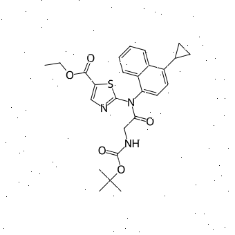 CCOC(=O)c1cnc(N(C(=O)CNC(=O)OC(C)(C)C)c2ccc(C3CC3)c3ccccc23)s1